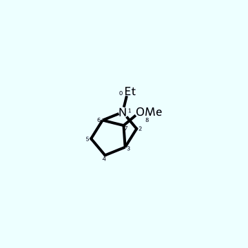 CCN1CC2CCC1C2OC